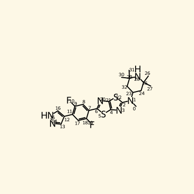 CN(c1nc2sc(-c3cc(F)c(-c4cn[nH]c4)cc3F)nc2s1)C1CC(C)(C)NC(C)(C)C1